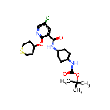 CC(C)(C)OC(=O)NC1CCC(NC(=O)c2cc(Cl)cnc2OC2CCSCC2)CC1